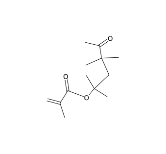 C=C(C)C(=O)OC(C)(C)CC(C)(C)C(C)=O